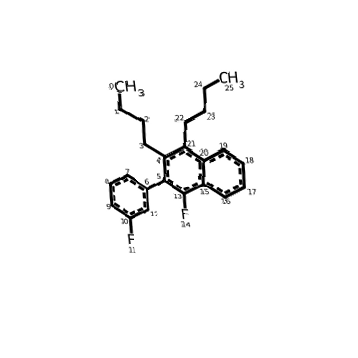 CCCCc1c(-c2cccc(F)c2)c(F)c2ccccc2c1CCCC